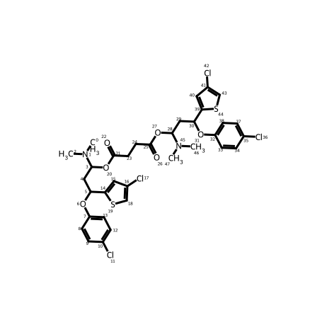 CN(C)C(CC(Oc1ccc(Cl)cc1)c1cc(Cl)cs1)OC(=O)CCC(=O)OC(CC(Oc1ccc(Cl)cc1)c1cc(Cl)cs1)N(C)C